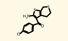 Nc1sc2c(c1C(=O)c1ccc(Cl)cc1)CCSC2